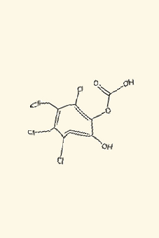 O=C(O)Oc1c(O)c(Cl)c(Cl)c(Cl)c1Cl